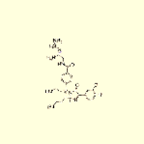 CC(C)(C)CCCC1(C)N=C(c2ccc(F)c(Cl)c2)C(=O)N1[C@H](CCC(C)(C)C)c1ccc(C(=O)NC/C(N)=N/NN)cc1